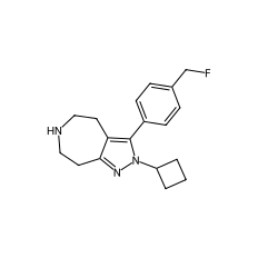 FCc1ccc(-c2c3c(nn2C2CCC2)CCNCC3)cc1